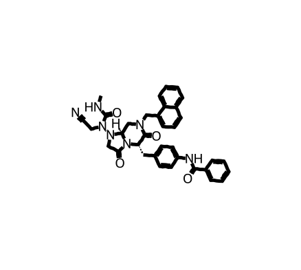 CNC(=O)N(CC#N)N1CC(=O)N2[C@@H](Cc3ccc(NC(=O)c4ccccc4)cc3)C(=O)N(Cc3cccc4ccccc34)C[C@@H]21